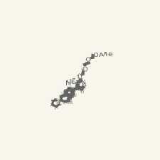 COCCOCCOCCOc1nccc(-c2ccc3cc(N4CCCCC4)ccc3c2)c1C#N